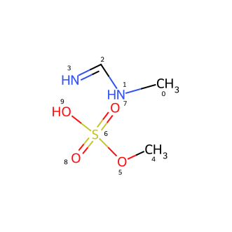 CNC=N.COS(=O)(=O)O